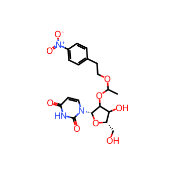 CC(OCCc1ccc([N+](=O)[O-])cc1)OC1C(O)[C@H](CO)O[C@@H]1n1ccc(=O)[nH]c1=O